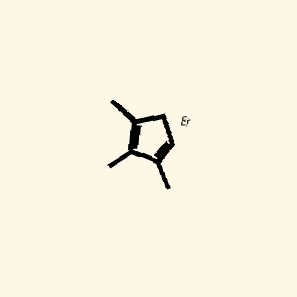 CC1=CCC(C)=C1C.[Er]